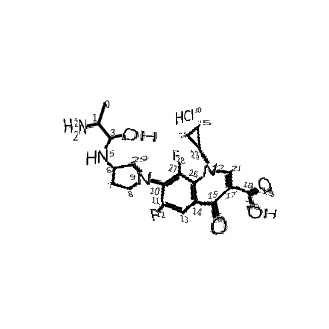 CC(N)C(O)NC1CCN(c2c(F)cc3c(=O)c(C(=O)O)cn(C4CC4)c3c2F)C1.Cl